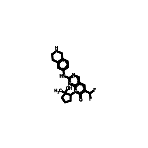 CC1(O)CCCC1n1c(=O)c(C(F)F)cc2cnc(Nc3ccc4c(c3)CCNC4)nc21